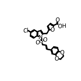 O=C(O)c1ccc(Cc2cc3cc(Cl)ccc3n2S(=O)(=O)CC=Cc2ccc3c(c2)OCCO3)o1